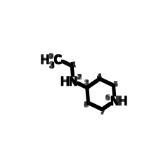 C[CH]NC1CCNCC1